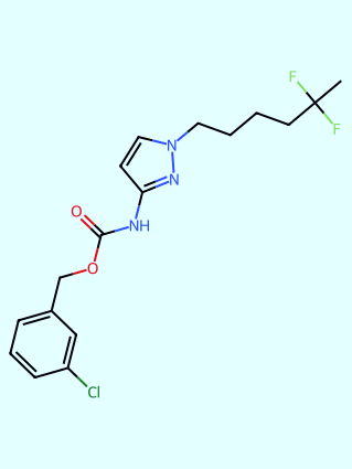 CC(F)(F)CCCCn1ccc(NC(=O)OCc2cccc(Cl)c2)n1